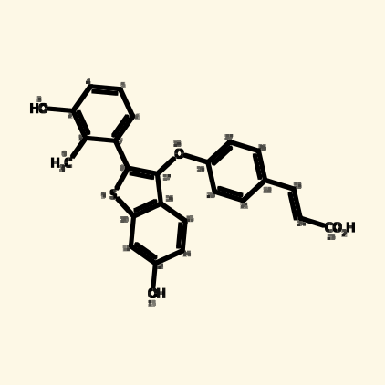 Cc1c(O)cccc1-c1sc2cc(O)ccc2c1Oc1ccc(C=CC(=O)O)cc1